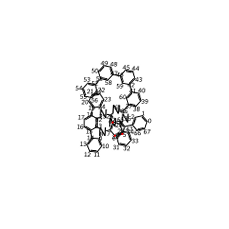 c1ccc(-c2ccc(-n3c4ccccc4c4ccc5c6ccccc6n(-c6nc(-c7ccccc7)nc(-c7cccc(-c8cccc(-c9cccc(-c%10ccccc%10)c9)c8)c7)n6)c5c43)cc2)cc1